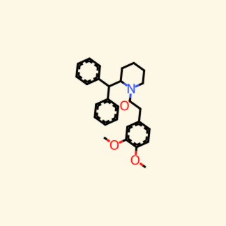 COc1ccc(CC(=O)N2CCCCC2C(c2ccccc2)c2ccccc2)cc1OC